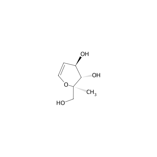 C[C@]1(CO)OC=C[C@@H](O)[C@@H]1O